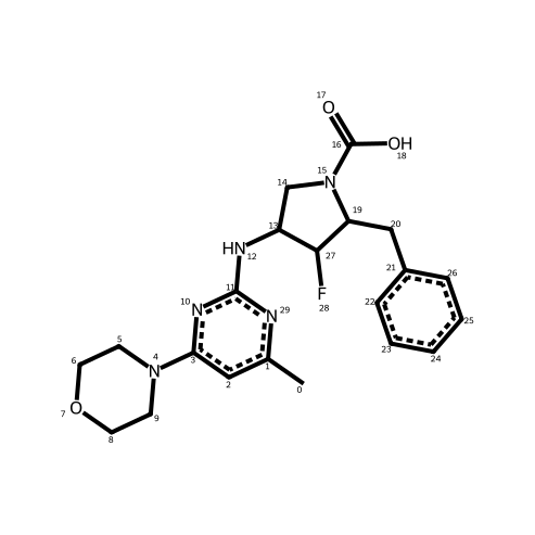 Cc1cc(N2CCOCC2)nc(NC2CN(C(=O)O)C(Cc3ccccc3)C2F)n1